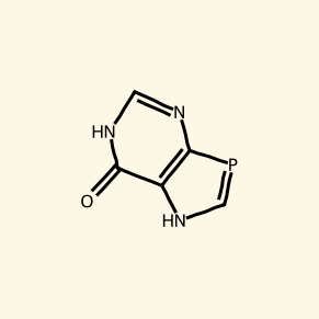 O=c1[nH]cnc2pc[nH]c12